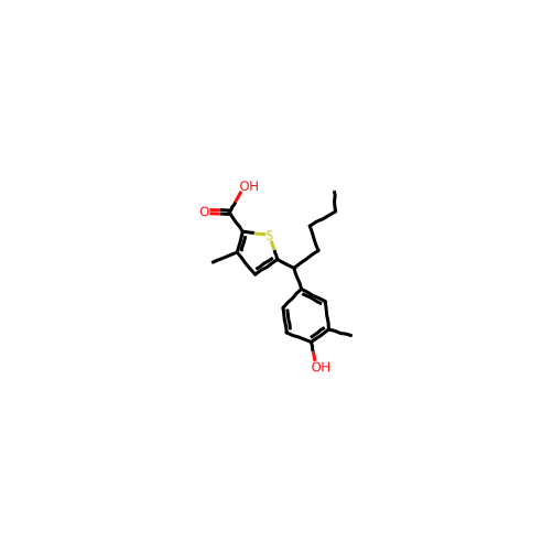 CCCCC(c1ccc(O)c(C)c1)c1cc(C)c(C(=O)O)s1